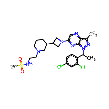 CC(c1ccc(Cl)cc1Cl)n1nc(C(F)(F)F)c2ncc(N3CC([C@@H]4CCCN(CCNS(=O)(=O)C(C)C)C4)C3)nc21